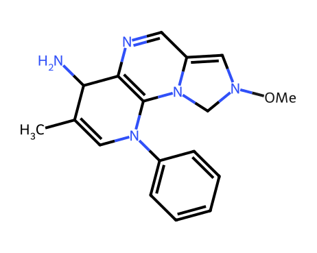 CON1C=C2C=NC3=C(N2C1)N(c1ccccc1)C=C(C)C3N